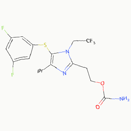 CC(C)c1nc(CCOC(N)=O)n(CC(F)(F)F)c1Sc1cc(F)cc(F)c1